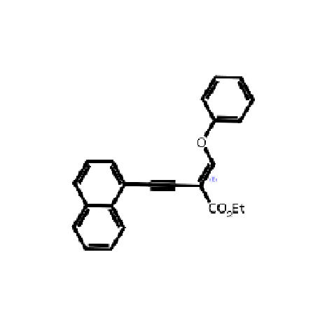 CCOC(=O)/C(C#Cc1cccc2ccccc12)=C/Oc1ccccc1